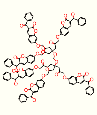 O=C(CCC(CC(=O)COc1ccc2cc(C(=O)c3ccccc3)c(=O)oc2c1)(CC(=O)COc1ccc2cc(C(=O)c3ccccc3)c(=O)oc2c1)OCOC(CC(=O)COc1ccc2cc(C(=O)c3ccccc3)c(=O)oc2c1)(CC(=O)COc1ccc2cc(C(=O)c3ccccc3)c(=O)oc2c1)CC(=O)COc1ccc2cc(C(=O)c3ccccc3)c(=O)oc2c1)COc1ccc2cc(C(=O)c3ccccc3)c(=O)oc2c1